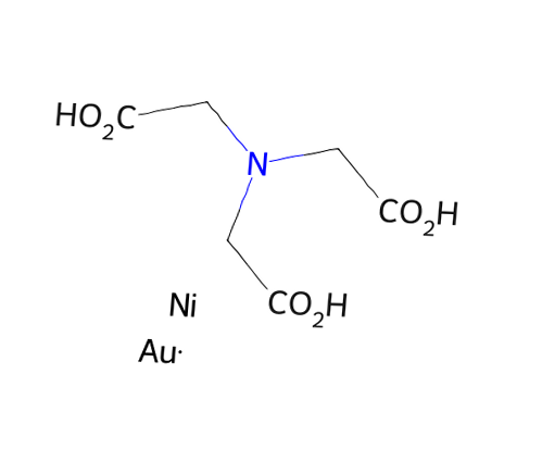 O=C(O)CN(CC(=O)O)CC(=O)O.[Au].[Ni]